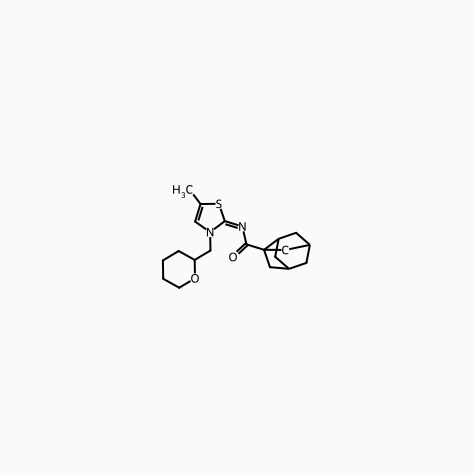 Cc1cn(CC2CCCCO2)c(=NC(=O)C23CC4CC(CC2C4)C3)s1